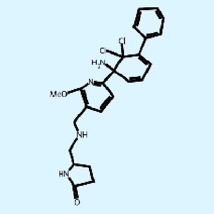 COc1nc(C2(N)C=CC=C(c3ccccc3)C2(Cl)Cl)ccc1CNCC1CCC(=O)N1